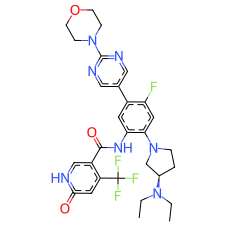 CCN(CC)[C@@H]1CCN(c2cc(F)c(-c3cnc(N4CCOCC4)nc3)cc2NC(=O)c2c[nH]c(=O)cc2C(F)(F)F)C1